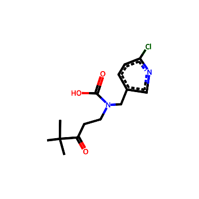 CC(C)(C)C(=O)CCN(Cc1ccc(Cl)nc1)C(=O)O